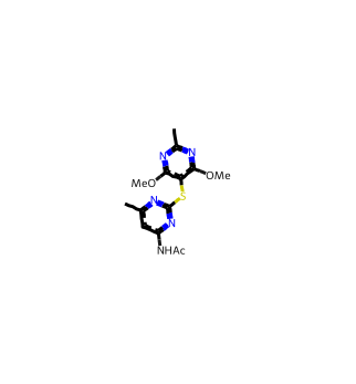 COc1nc(C)nc(OC)c1Sc1nc(C)cc(NC(C)=O)n1